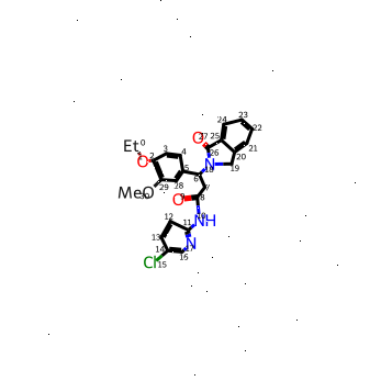 CCOc1ccc(C(CC(=O)Nc2ccc(Cl)cn2)N2Cc3ccccc3C2=O)cc1OC